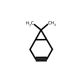 CC1(C)C2CC#CCC21